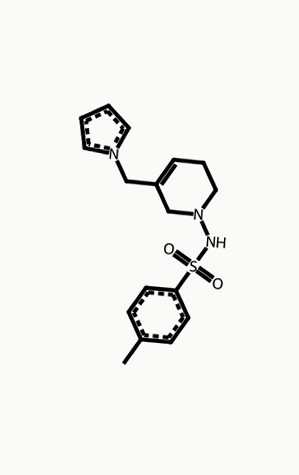 Cc1ccc(S(=O)(=O)NN2CCC=C(Cn3cccc3)C2)cc1